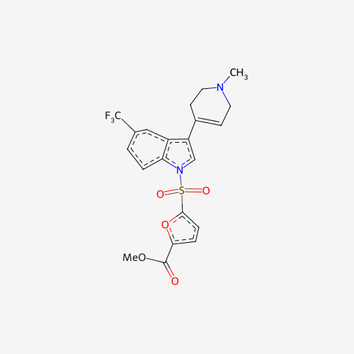 COC(=O)c1ccc(S(=O)(=O)n2cc(C3=CCN(C)CC3)c3cc(C(F)(F)F)ccc32)o1